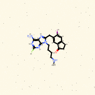 CCNCCCCn1c(Cc2cc3c(cc2I)CCC3=O)nc2c(N)nc(F)nc21